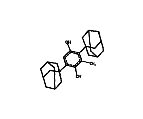 Cc1c(O)c(C23CC4CC(CC(C4)C2)C3)cc(O)c1C12CC3CC(CC(C3)C1)C2